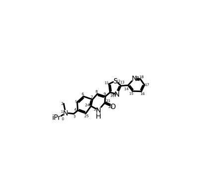 CC(C)N(C)Cc1ccc2cc(-c3csc(-c4ccccn4)n3)c(=O)[nH]c2c1